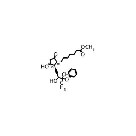 COC(=O)CCCC=CC[C@H]1C(=O)C[C@H](O)[C@@H]1C#CC(O)C(C)(C)Oc1ccccc1